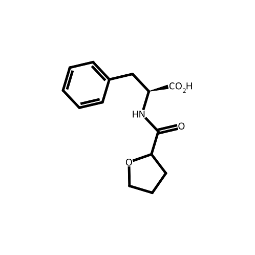 O=C(N[C@@H](Cc1ccccc1)C(=O)O)C1CCCO1